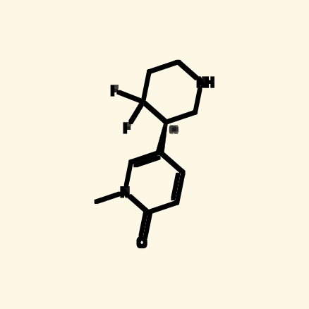 Cn1cc([C@@H]2CNCCC2(F)F)ccc1=O